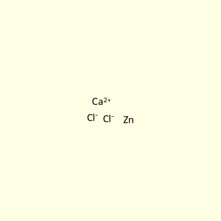 [Ca+2].[Cl-].[Cl-].[Zn]